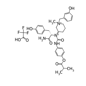 CC(C)C(=O)Oc1ccc(NC(=O)/[N+](=C2\CCC[N+](C)(Cc3cccc(O)c3)C2)[C@@H](Cc2ccc(O)cc2)C(N)=O)cc1.O=C(O)C(F)(F)F